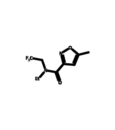 CCN(CC(F)(F)F)C(=O)c1cc(C)on1